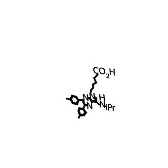 Cc1ccc(-c2nc3c(CNC(C)C)cn(CCCCCCC(=O)O)c3nc2-c2ccc(C)cc2)cc1